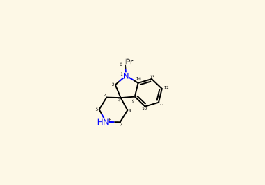 CC(C)N1CC2(CCNCC2)c2ccccc21